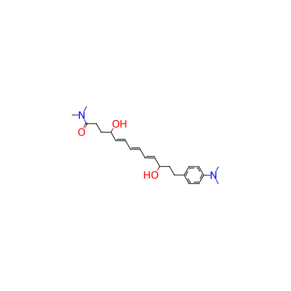 CN(C)C(=O)CCC(O)/C=C/C=C/C=C/C(O)CCc1ccc(N(C)C)cc1